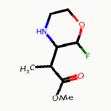 COC(=O)C(C)C1NCCOC1F